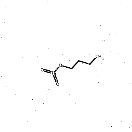 CCCC[O][Ta](=[O])=[O]